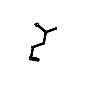 CO[C]CC(C)[O]